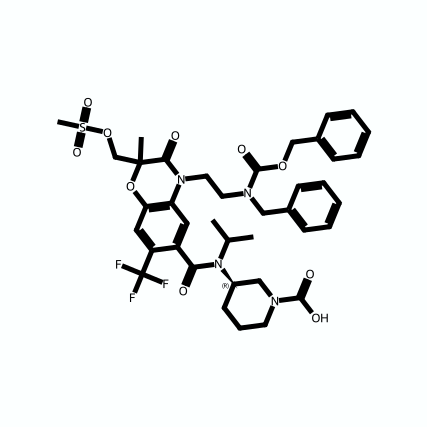 CC(C)N(C(=O)c1cc2c(cc1C(F)(F)F)OC(C)(COS(C)(=O)=O)C(=O)N2CCN(Cc1ccccc1)C(=O)OCc1ccccc1)[C@@H]1CCCN(C(=O)O)C1